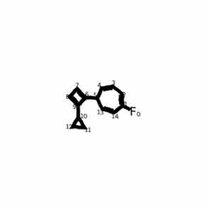 FC1=CC=CC(C2=CC=C2C2CC2)C=C1